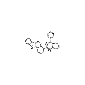 c1ccc(-c2nc(-c3cccc4c3ccc3c5ccccc5sc43)nc3ccccc23)cc1